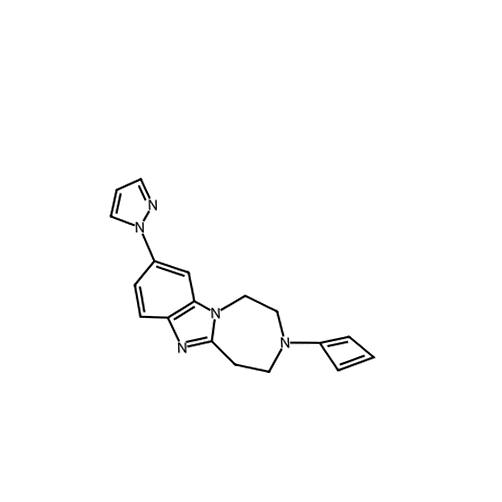 C1=CC(N2CCc3nc4ccc(-n5cccn5)cc4n3CC2)=C1